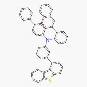 c1ccc(-c2ccc(N(c3cccc(-c4cccc5sc6ccccc6c45)c3)c3ccccc3-c3ccc4ccccc4c3)cc2)cc1